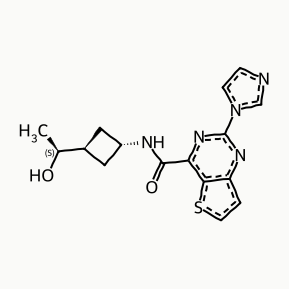 C[C@H](O)[C@H]1C[C@H](NC(=O)c2nc(-n3ccnc3)nc3ccsc23)C1